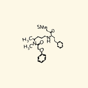 CSCC(=O)C(CCc1ccccc1)NCCCC(C)N(C)C(=O)COc1ccccc1